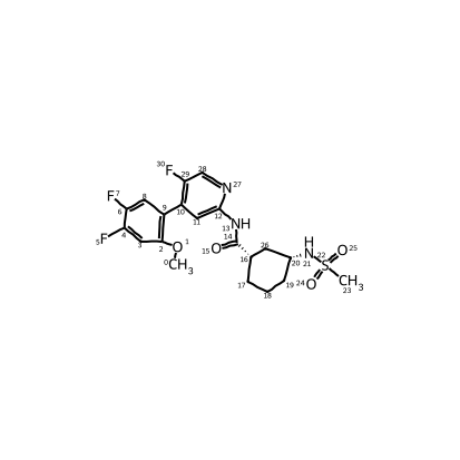 COc1cc(F)c(F)cc1-c1cc(NC(=O)[C@H]2CCC[C@@H](NS(C)(=O)=O)C2)ncc1F